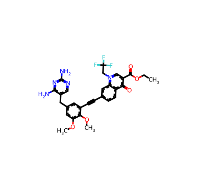 CCOC(=O)c1cn(CC(F)(F)F)c2cc(C#Cc3cc(Cc4cnc(N)nc4N)cc(OC)c3OC)ccc2c1=O